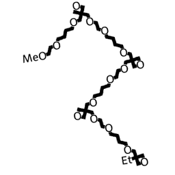 CCC1(COCCCCOCCOCC2(COCCCCOCCOCC3(COCCCCOCCOCC4(COCCCCOCCOC)COC4)COC3)COC2)COC1